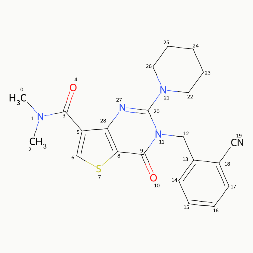 CN(C)C(=O)c1csc2c(=O)n(Cc3ccccc3C#N)c(N3CCCCC3)nc12